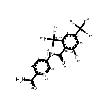 NC(=O)c1ccc(NC(=O)c2c(F)cc(C(F)(F)F)cc2C(F)(F)F)cn1